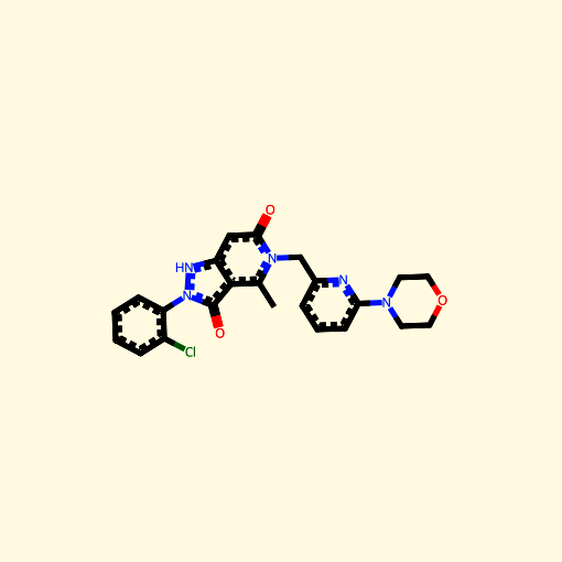 Cc1c2c(=O)n(-c3ccccc3Cl)[nH]c2cc(=O)n1Cc1cccc(N2CCOCC2)n1